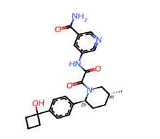 C[C@@H]1CC[C@@H](c2ccc(C3(O)CCC3)cc2)N(C(=O)C(=O)Nc2cncc(C(N)=O)c2)C1